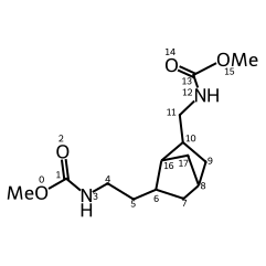 COC(=O)NCCC1CC2CC(CNC(=O)OC)C1C2